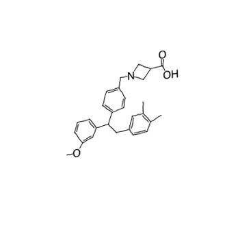 COc1cccc(C(Cc2ccc(C)c(C)c2)c2ccc(CN3CC(C(=O)O)C3)cc2)c1